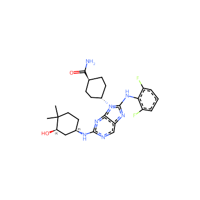 CC1(C)CC[C@@H](Nc2ncc3nc(Nc4c(F)cccc4F)n([C@H]4CC[C@H](C(N)=O)CC4)c3n2)C[C@H]1O